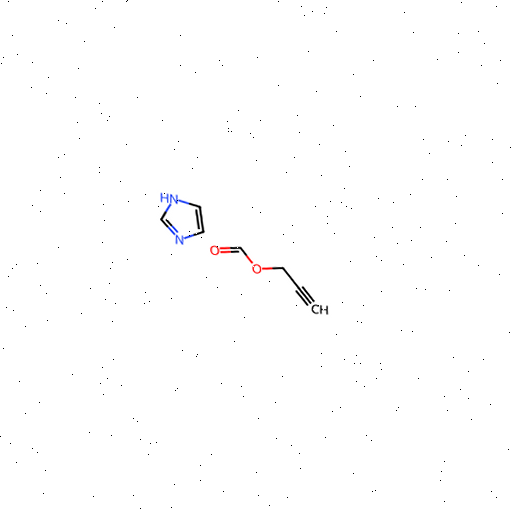 C#CCOC=O.c1c[nH]cn1